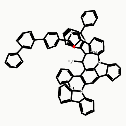 Cc1ccccc1-c1c(-n2c3ccccc3c3ccccc32)cc2c3ccccc3n(-c3cccc(-c4cc#ccc4)c3)c2c1C(C)C(C)c1nc(-c2ccccc2)nc(-c2ccc(-c3cccc(-c4ccccc4)c3)cc2)n1